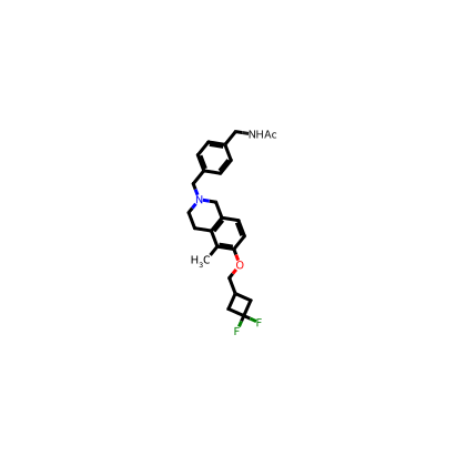 CC(=O)NCc1ccc(CN2CCc3c(ccc(OCC4CC(F)(F)C4)c3C)C2)cc1